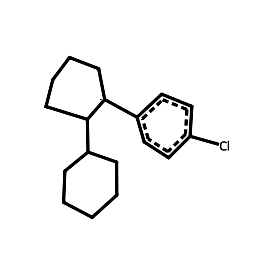 Clc1ccc([C]2CCCCC2C2CCCCC2)cc1